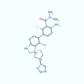 CN(C)C(=O)c1c(N)ccc(-c2cnc3c(c2Cl)[C@]2(CC[C@@H](n4cncn4)C2)CN3)c1F